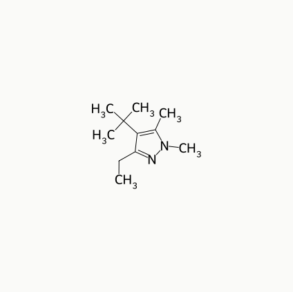 CCc1nn(C)c(C)c1C(C)(C)C